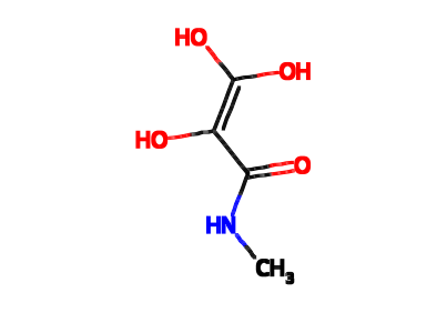 CNC(=O)C(O)=C(O)O